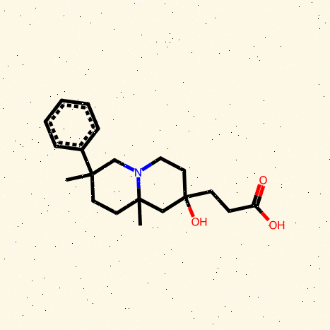 CC1(c2ccccc2)CCC2(C)CC(O)(CCC(=O)O)CCN2C1